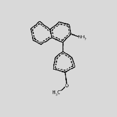 COc1ccc(-c2c(N)ccc3ccccc23)cc1